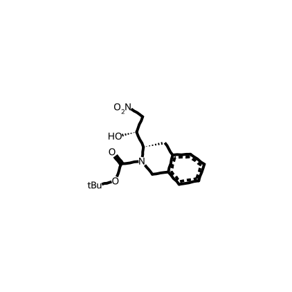 CC(C)(C)OC(=O)N1Cc2ccccc2C[C@H]1[C@H](O)C[N+](=O)[O-]